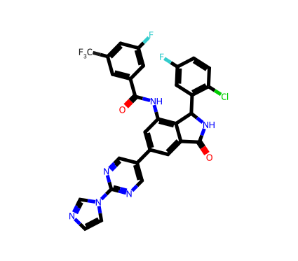 O=C(Nc1cc(-c2cnc(-n3ccnc3)nc2)cc2c1C(c1cc(F)ccc1Cl)NC2=O)c1cc(F)cc(C(F)(F)F)c1